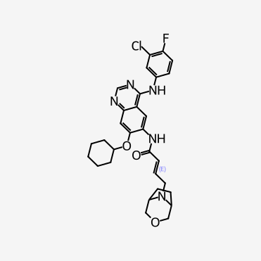 O=C(/C=C/CN1C2CCC1COC2)Nc1cc2c(Nc3ccc(F)c(Cl)c3)ncnc2cc1OC1CCCCC1